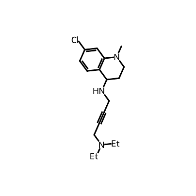 CCN(CC)CC#CCNC1CCN(C)c2cc(Cl)ccc21